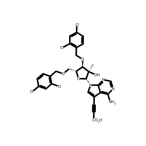 C[C@@]1(O)[C@H](OCc2ccc(Cl)cc2Cl)[C@@H](COCc2ccc(Cl)cc2Cl)O[C@H]1n1cc(C#CC(=O)O)c2c(N)ncnc21